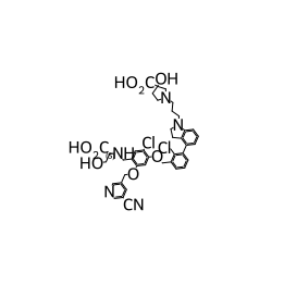 N#Cc1cncc(COc2cc(OCc3cccc(-c4cccc5c4CCN5CCCN4CCC(O)(C(=O)O)C4)c3Cl)c(Cl)cc2CN[C@@H](CO)C(=O)O)c1